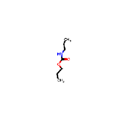 CC[CH]OC(=O)NCCC